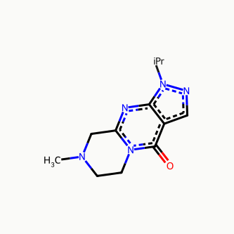 CC(C)n1ncc2c(=O)n3c(nc21)CN(C)CC3